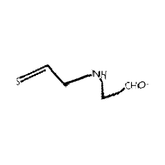 O=[C]CNCC=S